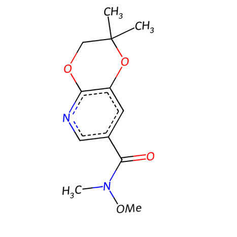 CON(C)C(=O)c1cnc2c(c1)OC(C)(C)CO2